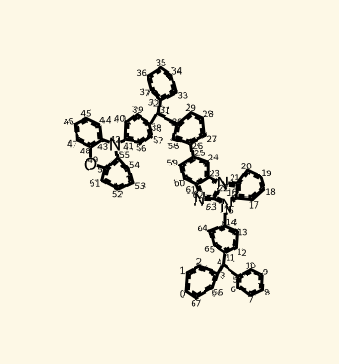 c1ccc(C(c2ccccc2)c2ccc(-n3c4ccccc4n4c5cc(-c6cccc(C(c7ccccc7)c7ccc(N8c9ccccc9Oc9ccccc98)cc7)c6)ccc5nc34)cc2)cc1